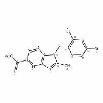 COC(=O)c1ccc2c(n1)nc(C)n2Cc1ccc(Br)cc1Cl